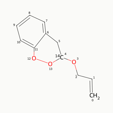 C=C[CH]O[14CH]1Cc2ccccc2OO1